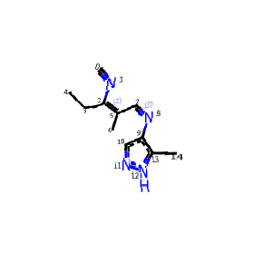 C=N/C(CC)=C(C)\C=N/c1cn[nH]c1C